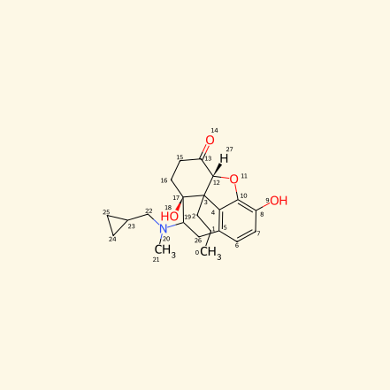 CCCC12c3c4ccc(O)c3O[C@H]1C(=O)CC[C@@]2(O)C(N(C)CC1CC1)C4